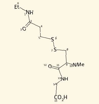 CCNC(=O)CCSSCC(NC)C(=O)NCC(=O)O